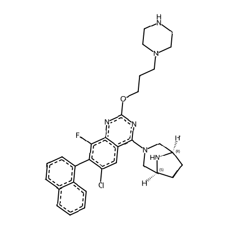 Fc1c(-c2cccc3ccccc23)c(Cl)cc2c(N3C[C@H]4CC[C@@H](C3)N4)nc(OCCCN3CCNCC3)nc12